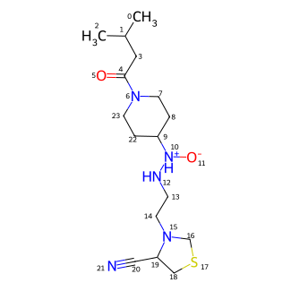 CC(C)CC(=O)N1CCC([NH+]([O-])NCCN2CSCC2C#N)CC1